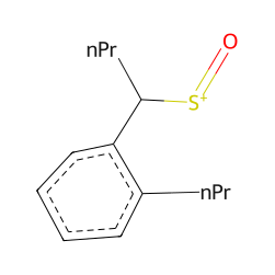 [CH2]CCc1ccccc1C(CCC)[S+]=O